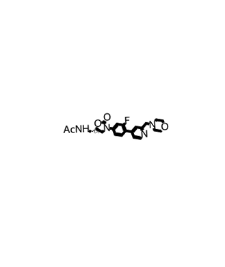 CC(=O)NC[C@H]1CN(c2ccc(-c3ccnc(CN4CCOCC4)c3)c(F)c2)C(=O)O1